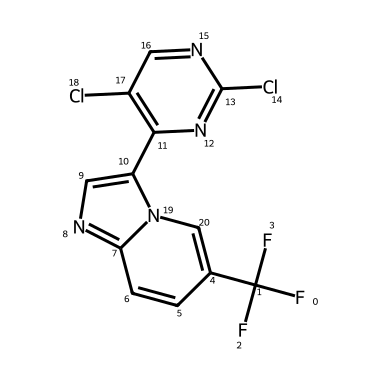 FC(F)(F)c1ccc2ncc(-c3nc(Cl)ncc3Cl)n2c1